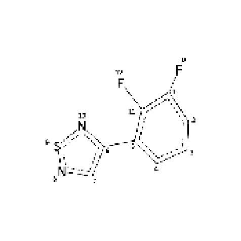 Fc1cccc(-c2cnsn2)c1F